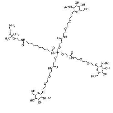 CC(=O)NC1C(OCCOCCOCCNC(=O)CCOCC(COCCC(=O)NCCOCCOCCOC2OC(CO)C(O)C(O)C2NC(C)=O)(COCCC(=O)NCCOCCOCCOC2OC(CO)C(O)C(O)C2NC(C)=O)NC(=O)CCCCCCCCCCC(=O)NCCOC(C)(C)OCCN)OC(CO)C(O)C1O